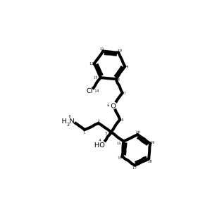 NCCC(O)(COCc1ccccc1Cl)c1ccccc1